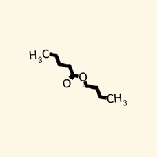 CCC[CH]OC(=O)CCCC